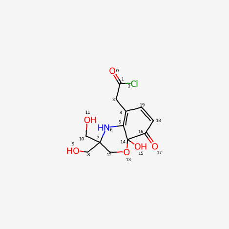 O=C(Cl)CC1=C2NC(CO)(CO)COC2(O)C(=O)C=C1